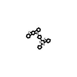 c1ccc(-c2nc(-c3ccc(-n4c5ccccc5c5cc6oc7ccccc7c6cc54)cc3)c3sc4ccccc4c3n2)cc1